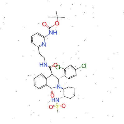 CC(C)(C)OC(=O)Nc1cccc(CCNC(=O)[C@@H]2c3ccccc3C(=O)N([C@H]3CCCC[C@@H]3NS(C)(=O)=O)[C@H]2c2ccc(Cl)cc2Cl)n1